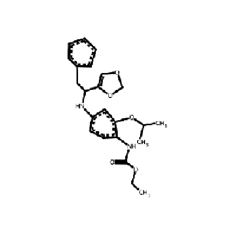 CCOC(=O)Nc1ccc(NC(Cc2ccccc2)C2=COCO2)cc1OC(C)C